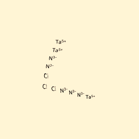 [C].[C].[C].[N-3].[N-3].[N-3].[N-3].[N-3].[Ta+5].[Ta+5].[Ta+5]